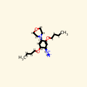 CCCCOC1=CC(=[N+]=[N-])C(OCCCC)C=C1N1CCOCC1